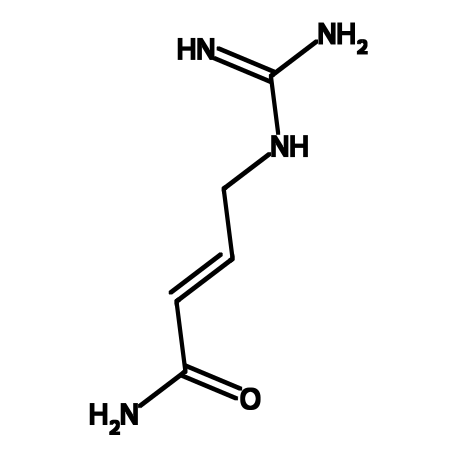 N=C(N)NCC=CC(N)=O